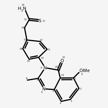 COc1cccc2nc(C)n(-c3ccc(CC(N)=S)cc3)c(=O)c12